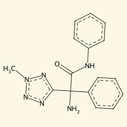 Cn1nnc(C(N)(C(=O)Nc2ccccc2)c2ccccc2)n1